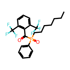 CCCCCCCP(=O)(C(=O)c1c(C(F)(F)F)cccc1C(F)(F)F)c1ccccc1